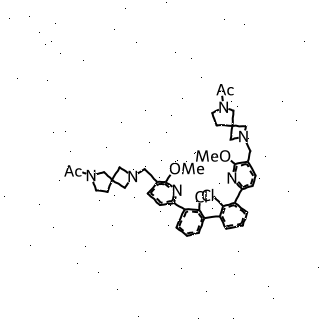 COc1nc(-c2cccc(-c3cccc(-c4ccc(CN5CC6(CCN(C(C)=O)C6)C5)c(OC)n4)c3Cl)c2Cl)ccc1CN1CC2(CCN(C(C)=O)C2)C1